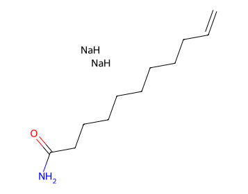 C=CCCCCCCCCC(N)=O.[NaH].[NaH]